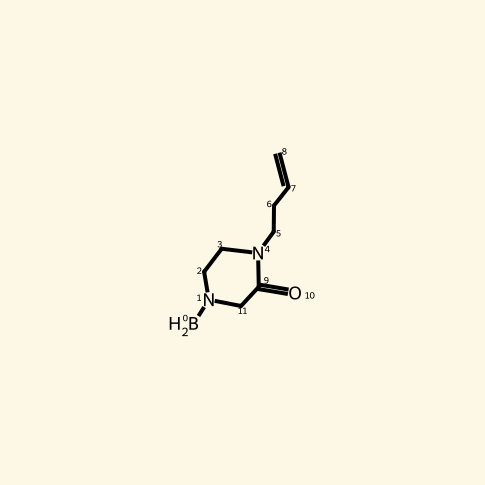 BN1CCN(CCC=C)C(=O)C1